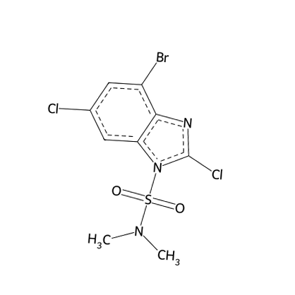 CN(C)S(=O)(=O)n1c(Cl)nc2c(Br)cc(Cl)cc21